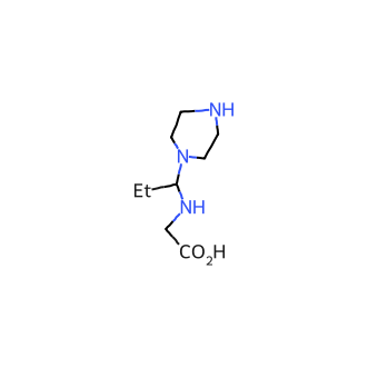 CCC(NCC(=O)O)N1CCNCC1